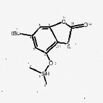 C[SiH](C)Oc1cc(C(C)(C)C)cc2oc(=O)sc12